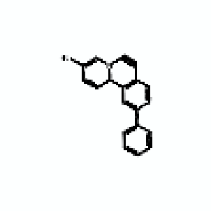 CC(C)(C)C1=CN2C#Cc3ccc(-c4ccccc4)cc3C2C=C1